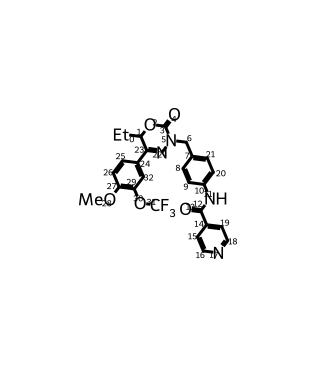 CCC1OC(=O)N(Cc2ccc(NC(=O)c3ccncc3)cc2)N=C1c1ccc(OC)c(OC(F)(F)F)c1